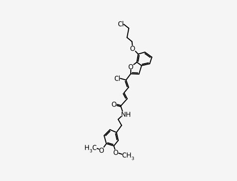 COc1ccc(CCNC(=O)/C=C/C=C(\Cl)c2cc3cccc(OCCCCl)c3o2)cc1OC